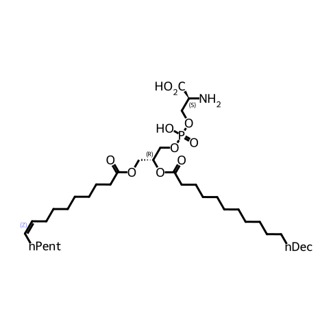 CCCCC/C=C\CCCCCCCC(=O)OC[C@H](COP(=O)(O)OC[C@H](N)C(=O)O)OC(=O)CCCCCCCCCCCCCCCCCCCC